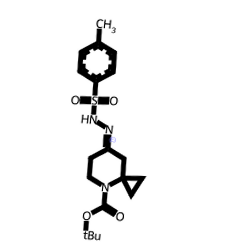 Cc1ccc(S(=O)(=O)N/N=C2\CCN(C(=O)OC(C)(C)C)C3(CC3)C2)cc1